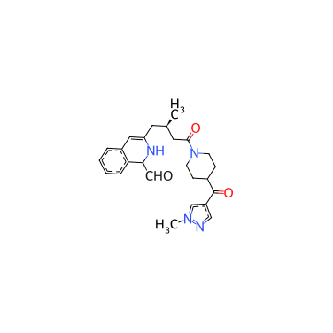 C[C@@H](CC(=O)N1CCC(C(=O)c2cnn(C)c2)CC1)CC1=Cc2ccccc2C(C=O)N1